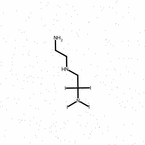 NCCNCC(I)(I)N(I)I